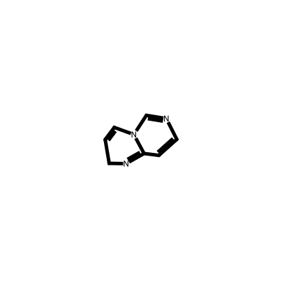 C1=CN2C=NC=CC2=NC1